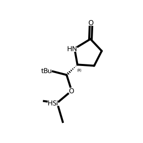 C[SiH](C)OC([C@H]1CCC(=O)N1)C(C)(C)C